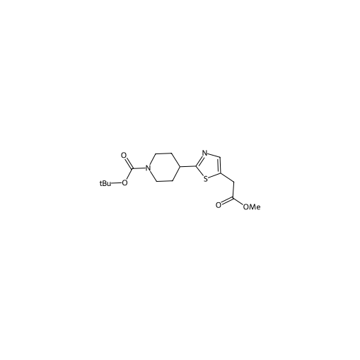 COC(=O)Cc1cnc(C2CCN(C(=O)OC(C)(C)C)CC2)s1